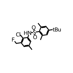 Cc1cc(CF)c(Cl)c(NS(=O)(=O)c2c(C)cc(C(C)(C)C)cc2C)c1